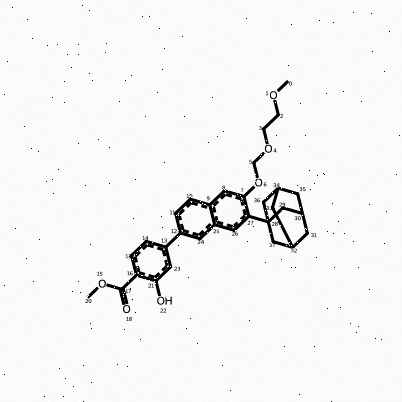 COCCOCOc1cc2ccc(-c3ccc(C(=O)OC)c(O)c3)cc2cc1C12CC3CC(CC(C3)C1)C2